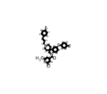 Cc1cc(C(=O)N2CC3(CCN(CC=Cc4ccc(F)cc4)CC3)c3cc(Sc4ccc(F)cc4)ccc32)cc(Cl)n1